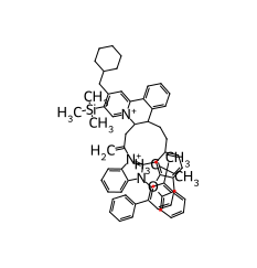 C=C1CC2C(CCc3ccc4c(oc5ccccc54)c3-c3n(-c4c(-c5ccccc5)cccc4C(C)(C)C)c4ccccc4[n+]31)c1ccccc1-c1cc(CC3CCCCC3)c([Si](C)(C)C)c[n+]12